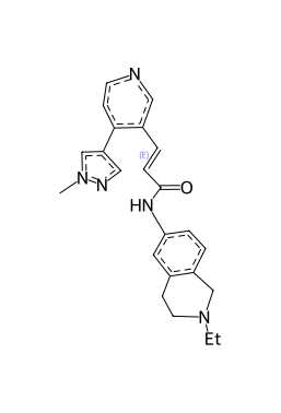 CCN1CCc2cc(NC(=O)/C=C/c3cnccc3-c3cnn(C)c3)ccc2C1